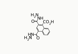 NNC(=O)c1cc(C(=O)NN)c2ccccc2c1C(=O)O